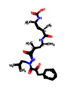 CC(C)CN(NC(=O)[C@@H](C)C[C@H](C)NC(=O)[C@@H](C)CC(C)NC(=O)O)C(=O)C(=O)Cc1ccccc1